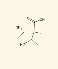 CCC(C)(C(=O)O)C(C)O.N